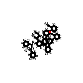 C=N/C(=N\C(=N/c1ccc(-n2c3ccccc3c3cc(-c4ccccc4C#N)ccc32)cc1-c1cnccc1-n1c2ccccc2c2cc(-c3ccccc3C#N)ccc21)c1ccccc1)c1ccccc1